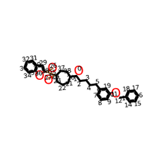 O=C(CCCCc1cccc(OCc2ccccc2)c1)C1CCCC(S(=O)(=O)c2cc3ccccc3o2)CC1